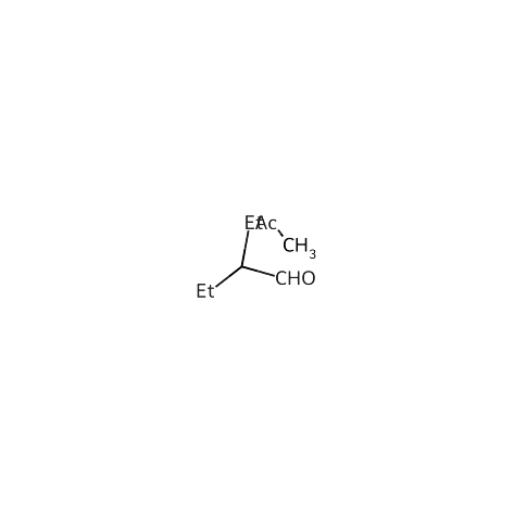 CC(C)=O.CCC(C=O)CC